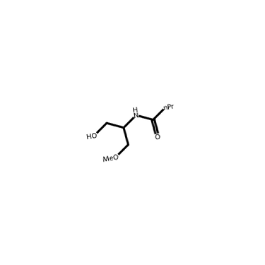 CCCC(=O)NC(CO)COC